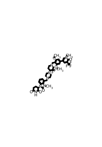 COc1cc(-c2cc(C(F)(F)F)c(=O)n(C)c2)cc(OC)c1CN1CCC(N2CCN(Cc3cccc4c3n(C)c(=O)n4C3CCC(=O)NC3=O)CC2)C(F)(F)C1